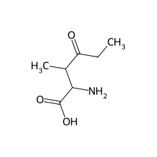 CCC(=O)C(C)C(N)C(=O)O